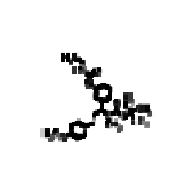 CCNC(=O)Oc1cccc(C(CCc2ccc(OC)cc2)N(C)C(=O)OC(C)(C)C)c1